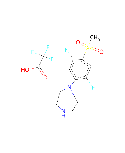 CS(=O)(=O)c1cc(F)c(N2CCNCC2)cc1F.O=C(O)C(F)(F)F